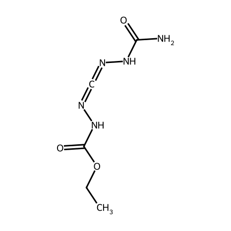 CCOC(=O)NN=C=NNC(N)=O